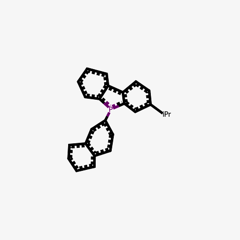 CC(C)c1ccc2c3ccccc3p(-c3ccc4ccccc4c3)c2c1